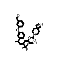 CC(/C=C(\C=C(/C=N)OC(=O)N1CCC2(CC1)CNC2)C(F)(F)F)c1cccc(Oc2cccc(C=O)c2)c1